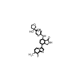 C=C(/C=N\C(=C/C)Nc1ccc(-c2cnc3c(F)c(C)ccn23)c2c1C(=O)NC2)[C@]1(O)CCOC1